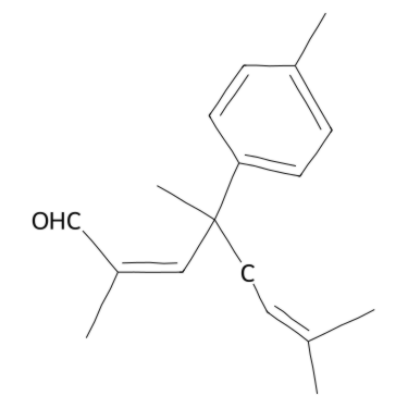 CC(C)=CCC(C)(C=C(C)C=O)c1ccc(C)cc1